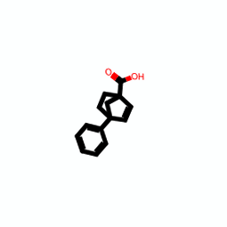 O=C(O)C12C=CC(c3ccccc3)(CC1)C2